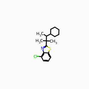 CC(C1CCCCC1)C(C)(C)c1nc2c(Cl)cccc2s1